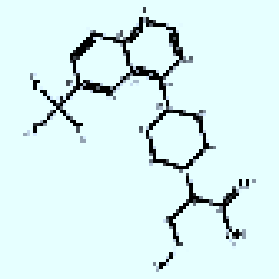 COCC(C(=O)O)[C@H]1CC[C@@H](c2ccnc3ccc(C(F)(F)F)cc32)CC1